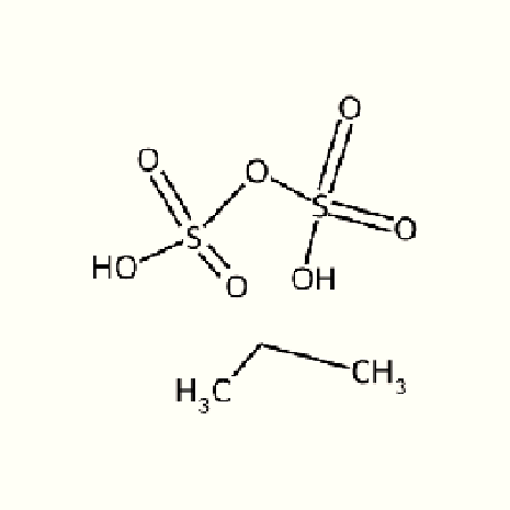 CCC.O=S(=O)(O)OS(=O)(=O)O